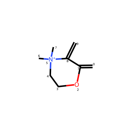 C=C1OCC[N+](C)(C)C1=C